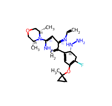 C=C/N=C(\C=C(/N)N1[C@H](C)COC[C@@H]1C)C(=C)C1=CC(OC2(C)CC2)=C(F)C[C@H]1NN